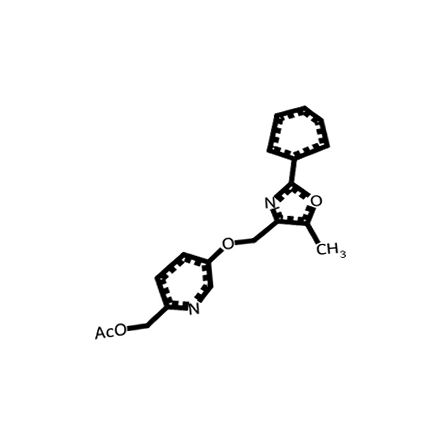 CC(=O)OCc1ccc(OCc2nc(-c3ccccc3)oc2C)cn1